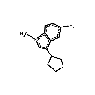 Cn1cc(C2CCCC2)c2cc(N)ccc21